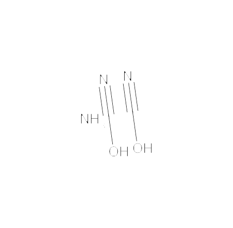 N.N#CO.N#CO